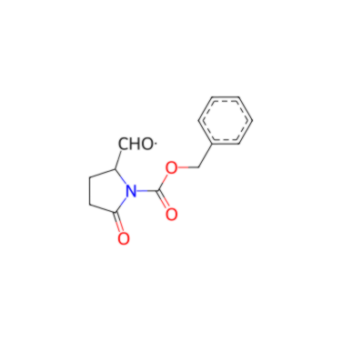 O=[C]C1CCC(=O)N1C(=O)OCc1ccccc1